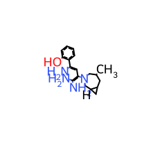 C[C@@H]1CC2C[C@H]2CN(C(/C=C(\N)c2ccccc2O)=C(N)N)C1